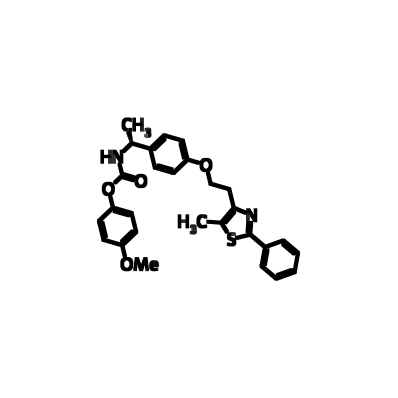 COc1ccc(OC(=O)N[C@@H](C)c2ccc(OCCc3nc(-c4ccccc4)sc3C)cc2)cc1